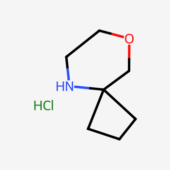 C1CC2(C1)COCCN2.Cl